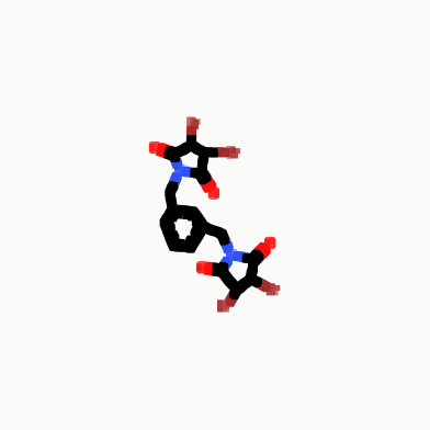 O=C1C(Br)C(Br)C(=O)N1Cc1cccc(CN2C(=O)C(Br)C(Br)C2=O)c1